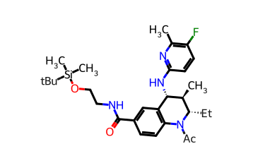 CC[C@H]1[C@H](C)[C@@H](Nc2ccc(F)c(C)n2)c2cc(C(=O)NCCO[Si](C)(C)C(C)(C)C)ccc2N1C(C)=O